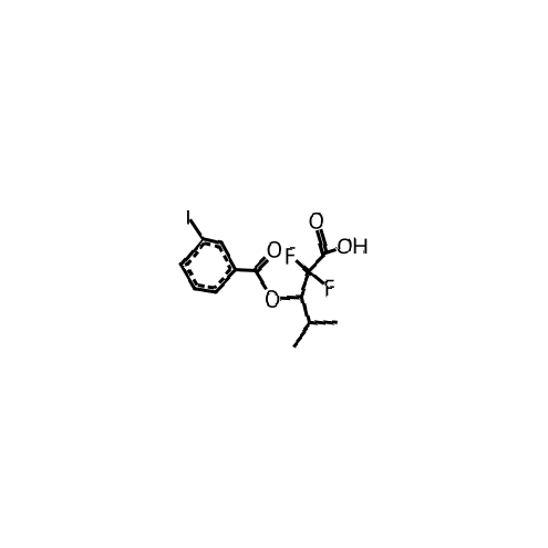 CC(C)C(OC(=O)c1cccc(I)c1)C(F)(F)C(=O)O